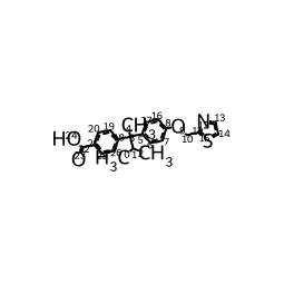 CC(C)C(C)(c1ccc(OCc2nccs2)cc1)c1ccc(C(=O)O)cc1